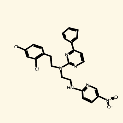 O=[N+]([O-])c1ccc(NCCN(CCc2ccc(Cl)cc2Cl)c2nccc(-c3cc[c]cc3)n2)nc1